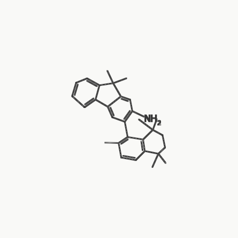 Cc1ccc2c(c1-c1cc3c(cc1N)C(C)(C)c1ccccc1-3)C(C)(C)CCC2(C)C